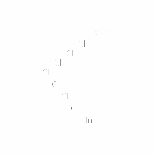 [Cl-].[Cl-].[Cl-].[Cl-].[Cl-].[Cl-].[Cl-].[In+3].[Sn+4]